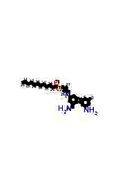 CC1CC(N)CC(C)(C)C1.CCCCCCCCCCCC(=O)OCC(C)(C)C=NC1CCCC(CN)C1